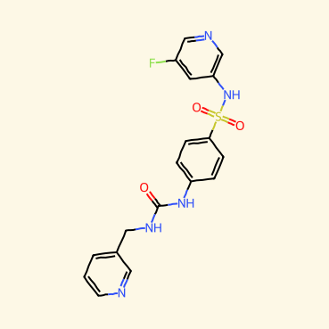 O=C(NCc1cccnc1)Nc1ccc(S(=O)(=O)Nc2cncc(F)c2)cc1